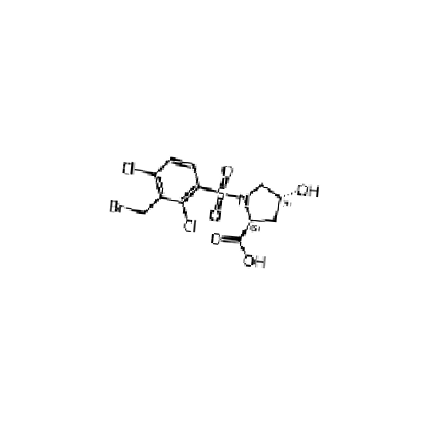 O=C(O)[C@@H]1C[C@@H](O)CN1S(=O)(=O)c1ccc(Cl)c(CBr)c1Cl